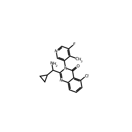 Cc1c(F)cncc1-n1c(C(N)C2CC2)nc2cccc(Cl)c2c1=O